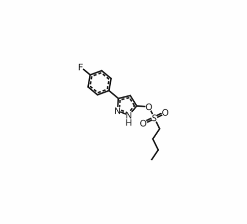 CCCCS(=O)(=O)Oc1cc(-c2ccc(F)cc2)n[nH]1